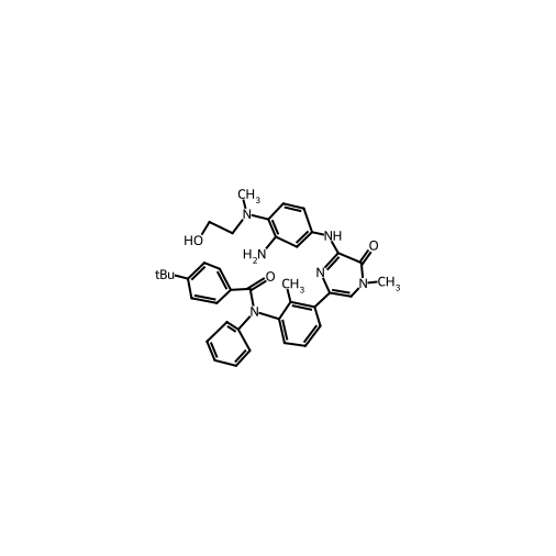 Cc1c(-c2cn(C)c(=O)c(Nc3ccc(N(C)CCO)c(N)c3)n2)cccc1N(C(=O)c1ccc(C(C)(C)C)cc1)c1ccccc1